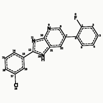 Fc1ccccc1-c1cnc2nc(-c3cccc(Cl)c3)[nH]c2c1